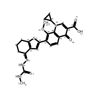 CNC(=S)N/N=C1\CCCc2sc(-c3ccc4c(=O)c(C(=O)O)cn(C5CC5)c4c3OC)cc21